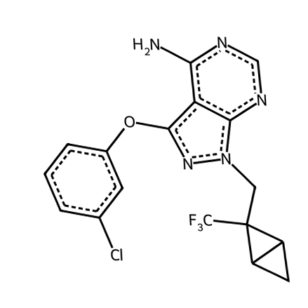 Nc1ncnc2c1c(Oc1cccc(Cl)c1)nn2CC1(C(F)(F)F)C2CC21